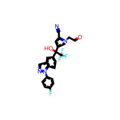 N#Cc1cc(C(O)(c2ccc3c(cnn3-c3ccc(F)cc3)c2)C(F)(F)F)cn1CC=O